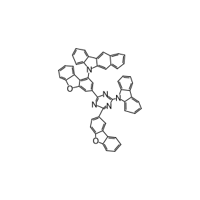 c1ccc2cc3c(cc2c1)c1ccccc1n3-c1cc(-c2nc(-c3ccc4oc5ccccc5c4c3)nc(-n3c4ccccc4c4ccccc43)n2)cc2oc3ccccc3c12